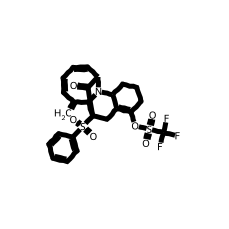 C=C1/C=C\C=C/C2C(=O)C3(S(=O)(=O)c4ccccc4)CC4=C(OS(=O)(=O)C(F)(F)F)CCCC4N2C13